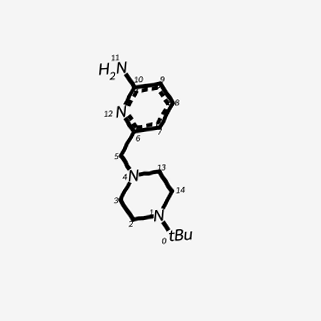 CC(C)(C)N1CCN(Cc2cccc(N)n2)CC1